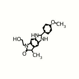 COc1ccc(C2Nc3cc4c(cc3N2)N(CCO)C(=O)C4C)cc1